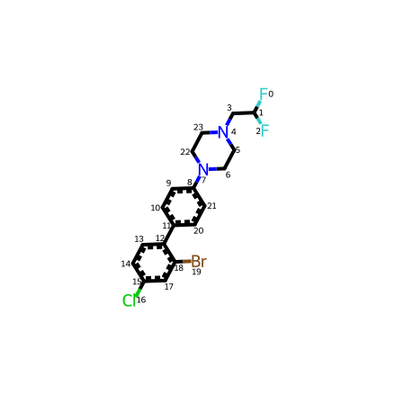 FC(F)CN1CCN(c2ccc(-c3ccc(Cl)cc3Br)cc2)CC1